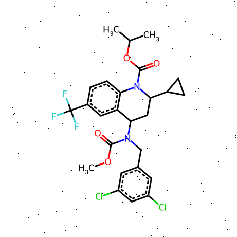 COC(=O)N(Cc1cc(Cl)cc(Cl)c1)C1CC(C2CC2)N(C(=O)OC(C)C)c2ccc(C(F)(F)F)cc21